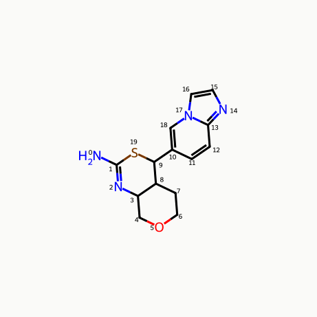 NC1=NC2COCCC2C(c2ccc3nccn3c2)S1